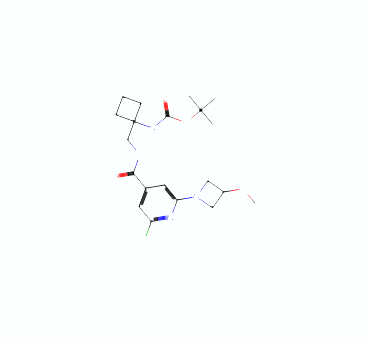 COC1CN(c2cc(C(=O)NCC3(NC(=O)OC(C)(C)C)CCC3)cc(Cl)n2)C1